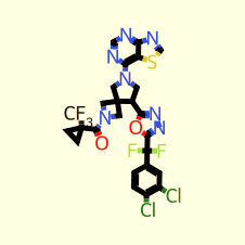 O=C(N1CC2(C1)CN(c1ncnc3ncsc13)CC2c1nnc(C(F)(F)c2ccc(Cl)c(Cl)c2)o1)C1(C(F)(F)F)CC1